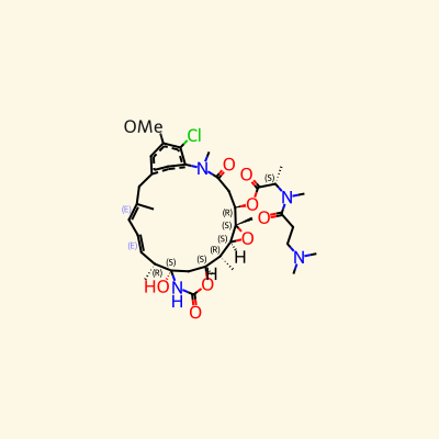 COc1cc2cc(c1Cl)N(C)C(=O)C[C@@H](OC(=O)[C@H](C)N(C)C(=O)CCN(C)C)[C@]1(C)O[C@H]1[C@H](C)[C@@H]1C[C@@](O)(NC(=O)O1)[C@H](C)/C=C/C=C(\C)C2